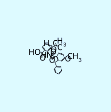 COc1ccc(S(=O)(=O)Nc2c(OC(C)C)cccc2C(=O)O)c(Cc2ccccc2)c1